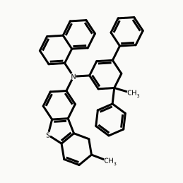 CC1C=Cc2sc3ccc(N(C4=CC(C)(c5ccccc5)CC(c5ccccc5)=C4)c4cccc5ccccc45)cc3c2C1